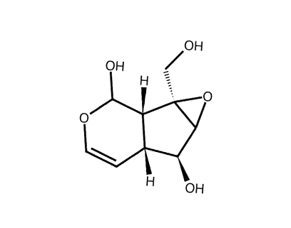 OC[C@]12OC1[C@@H](O)[C@@H]1C=COC(O)[C@@H]12